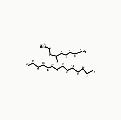 CCC(C)CCC(C)CCCCC(C)C.CCCCCCCCCCCCCC